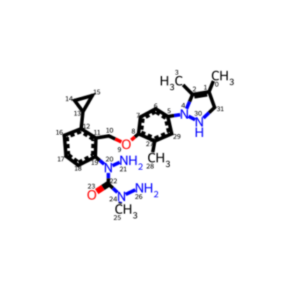 CC1=C(C)N(c2ccc(OCc3c(C4CC4)cccc3N(N)C(=O)N(C)N)c(C)c2)NC1